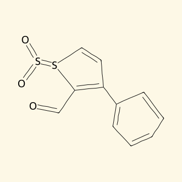 O=CC1=C(c2ccccc2)C=CS1=S(=O)=O